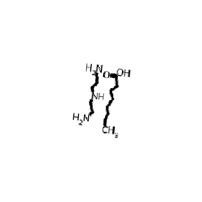 CCCCCCCC(=O)O.NCCCNCCN